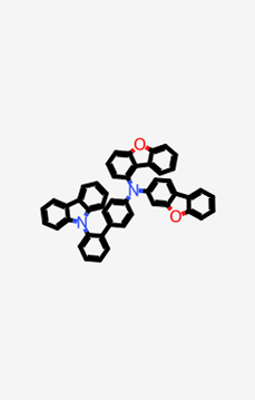 c1ccc(-n2c3ccccc3c3ccccc32)c(-c2ccc(N(c3ccc4c(c3)oc3ccccc34)c3cccc4oc5ccccc5c34)cc2)c1